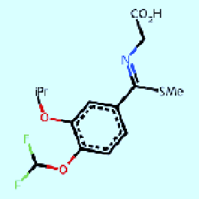 CSC(=NCC(=O)O)c1ccc(OC(F)F)c(OC(C)C)c1